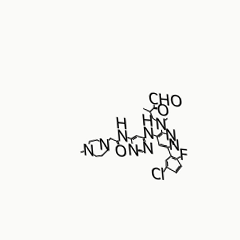 CC(CN(C)c1nnc(-c2cc(Cl)ccc2F)cc1Nc1cc(NC(=O)CN2CCCN(C)CC2)ncn1)C(=O)C=O